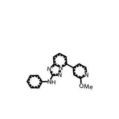 COc1cc(-c2cccc3nc(Nc4ccccc4)nn23)ccn1